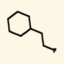 FCCC1CCCCC1